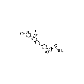 NC(=O)N1CC2(C1)OCc1cc(CCC3=NSC(c4ccc(Cl)nc4)(C(F)(F)F)C3)ccc12